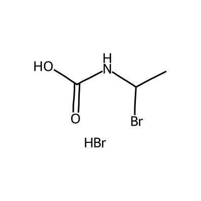 Br.CC(Br)NC(=O)O